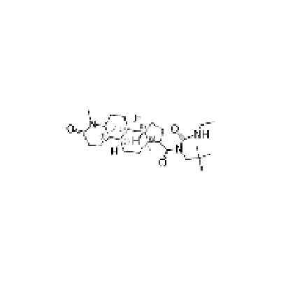 CCNC(=O)N(CC(C)(C)C)C(=O)C1CC[C@H]2[C@@H]3CCC4N(C)C(=O)CC[C@]4(C)[C@@H]3CC[C@]12C